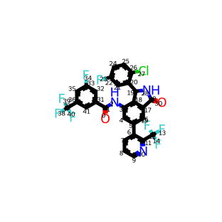 O=C(Nc1cc(-c2cccnc2C(F)(F)F)cc2c1C(c1cc(F)ccc1Cl)NC2=O)c1cc(F)cc(C(F)(F)F)c1